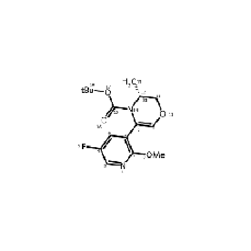 COc1ncc(F)cc1C1=COC[C@@H](C)N1C(=O)OC(C)(C)C